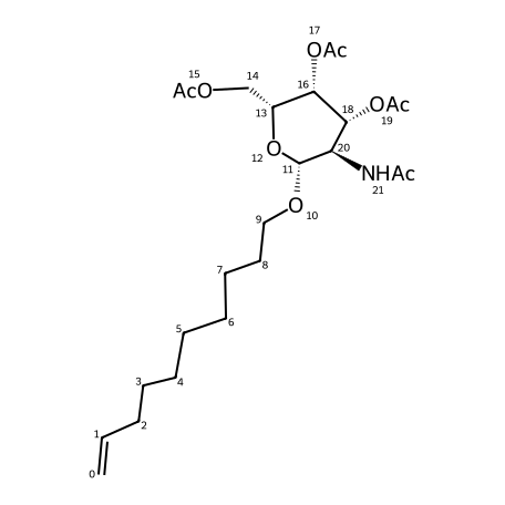 C=CCCCCCCCCO[C@@H]1O[C@H](COC(C)=O)[C@H](OC(C)=O)[C@H](OC(C)=O)[C@H]1NC(C)=O